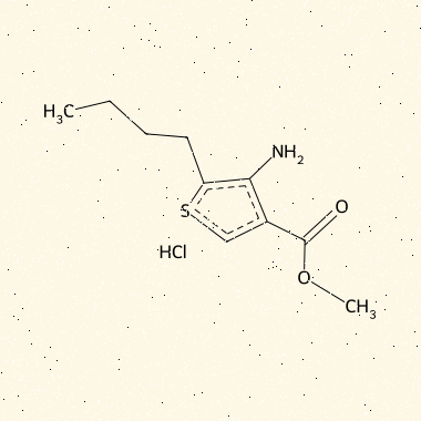 CCCCc1scc(C(=O)OC)c1N.Cl